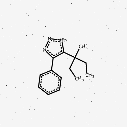 CCC(C)(CC)c1[nH]nnc1-c1ccccc1